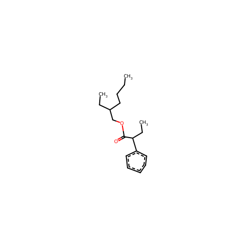 CCCCC(CC)COC(=O)C(CC)c1ccccc1